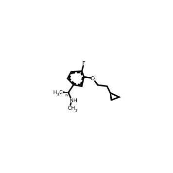 CN[C@@H](C)c1ccc(F)c(OCCC2CC2)c1